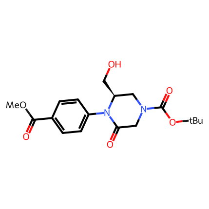 COC(=O)c1ccc(N2C(=O)CN(C(=O)OC(C)(C)C)C[C@@H]2CO)cc1